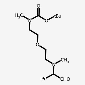 CC(C)C(C=O)N(C)CCOCCN(C)C(=O)OC(C)(C)C